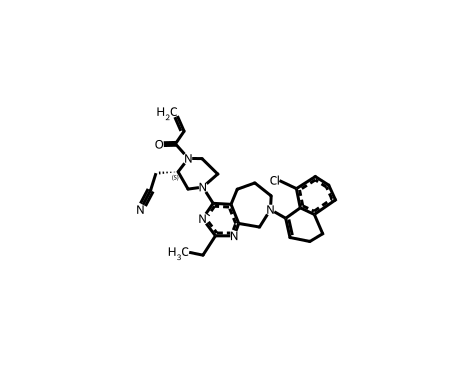 C=CC(=O)N1CCN(c2nc(CC)nc3c2CCCN(C2=CCCc4cccc(Cl)c42)C3)C[C@@H]1CC#N